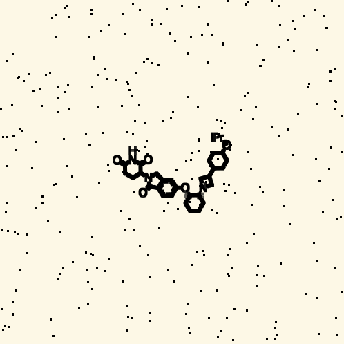 CC(C)OC1CCC(C2CN([C@@H]3CCCC[C@@H]3Oc3ccc4c(c3)CN(C3CCC(=O)NC3=O)C4=O)C2)CC1